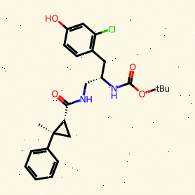 CC(C)(C)OC(=O)N[C@H](CNC(=O)[C@@H]1C[C@@]1(C)c1ccccc1)Cc1ccc(O)cc1Cl